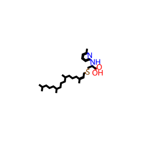 CC(=CCSCC(Nc1cccc(C)n1)C(=O)O)CCCC(C)CCCC(C)CCCC(C)C